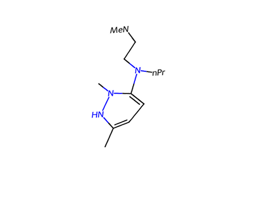 CCCN(CCNC)C1=CC=C(C)NN1C